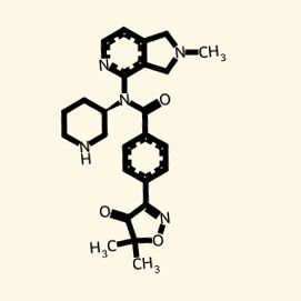 CN1Cc2ccnc(N(C(=O)c3ccc(C4=NOC(C)(C)C4=O)cc3)[C@@H]3CCCNC3)c2C1